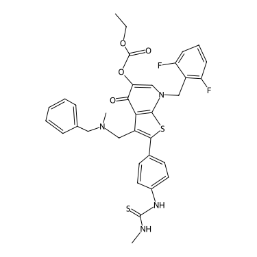 CCOC(=O)Oc1cn(Cc2c(F)cccc2F)c2sc(-c3ccc(NC(=S)NC)cc3)c(CN(C)Cc3ccccc3)c2c1=O